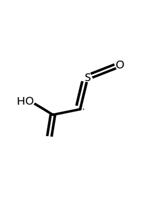 C=C(O)[C]=S=O